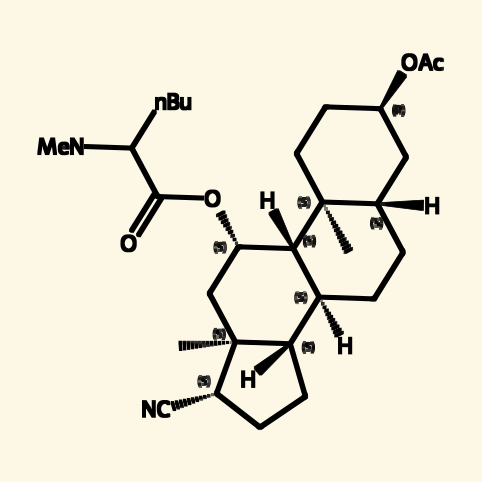 CCCCC(NC)C(=O)O[C@H]1C[C@]2(C)[C@@H](C#N)CC[C@H]2[C@@H]2CC[C@H]3C[C@H](OC(C)=O)CC[C@]3(C)[C@H]21